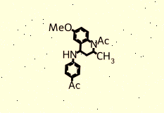 COc1ccc2c(c1)C(Nc1ccc(C(C)=O)cc1)CC(C)N2C(C)=O